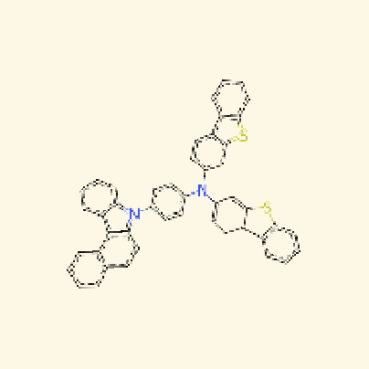 C1=C2Sc3ccccc3C2CC=C1N(c1ccc(-n2c3ccccc3c3c4ccccc4ccc32)cc1)c1ccc2c(c1)sc1ccccc12